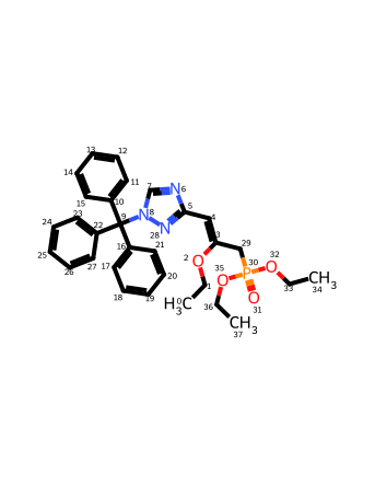 CCOC(=Cc1ncn(C(c2ccccc2)(c2ccccc2)c2ccccc2)n1)CP(=O)(OCC)OCC